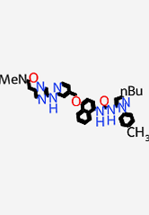 CCCCc1cc(NC(=O)Nc2ccc(OCc3ccnc(Nc4cnc(CC(=O)NC)cn4)c3)c3ccccc23)n(-c2ccc(C)cc2)n1